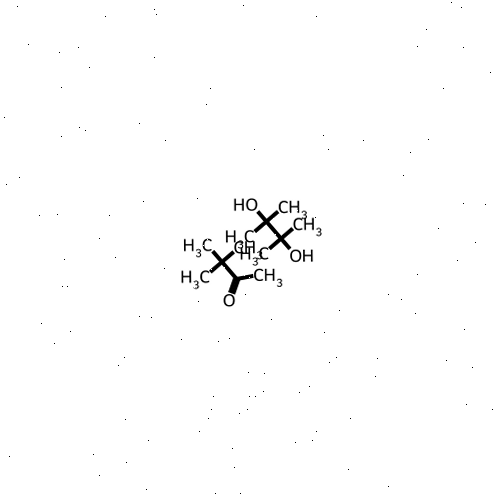 CC(=O)C(C)(C)C.CC(C)(O)C(C)(C)O